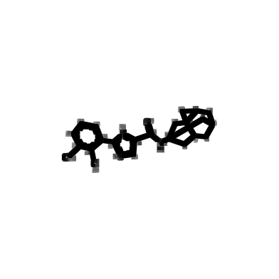 O=C(NC12CC3CC(C1)C1(CC1C3)C2)c1csc(-c2cccc(Cl)c2Cl)n1